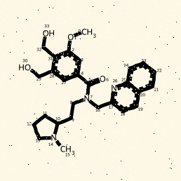 COc1cc(C(=O)N(CCC2CCCN2C)Cc2ccc3ccccc3n2)cc(CO)c1CO